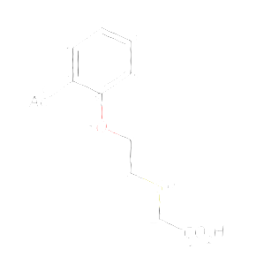 CC(=O)c1ccccc1OCCSCC(=O)O